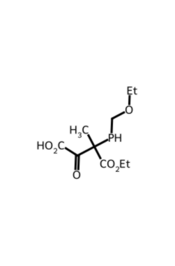 CCOCPC(C)(C(=O)OCC)C(=O)C(=O)O